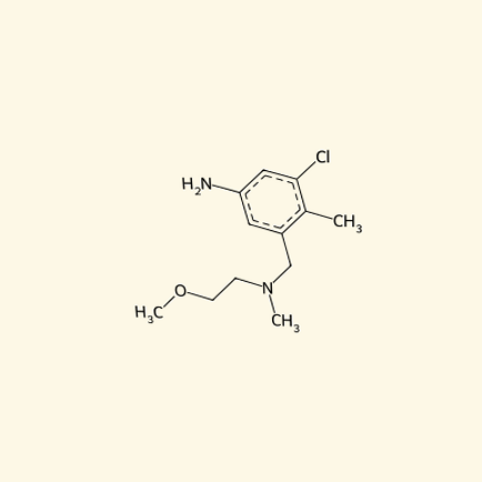 COCCN(C)Cc1cc(N)cc(Cl)c1C